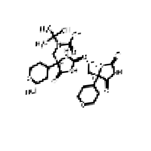 CC(C)(C)N(C[C@@]1(C2CCOCC2)NC(=O)NC1=O)C(=O)O.Cl.NC[C@@]1(C2CCOCC2)NC(=O)NC1=O